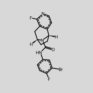 O=C(Nc1ccc(F)c(Br)c1)N1[C@@H]2CC[C@H]1c1ccnc(F)c1C2